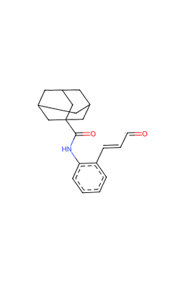 O=[C]/C=C/c1ccccc1NC(=O)C12CC3CC(CC(C3)C1)C2